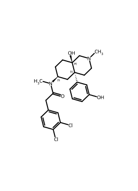 CN1CC[C@@]2(c3cccc(O)c3)C[C@@H](N(C)C(=O)Cc3ccc(Cl)c(Cl)c3)CC[C@]2(O)C1